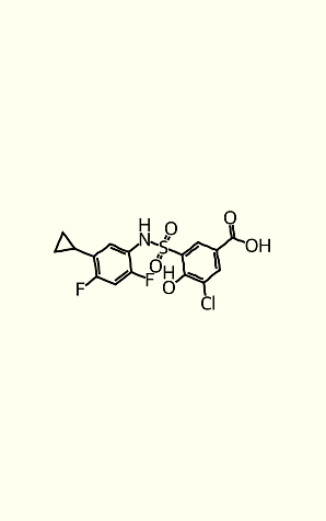 O=C(O)c1cc(Cl)c(O)c(S(=O)(=O)Nc2cc(C3CC3)c(F)cc2F)c1